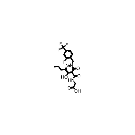 CCCc1nn(Cc2ccc(C(F)(F)F)cc2F)c(=O)c(C(=O)NCC(=O)O)c1O